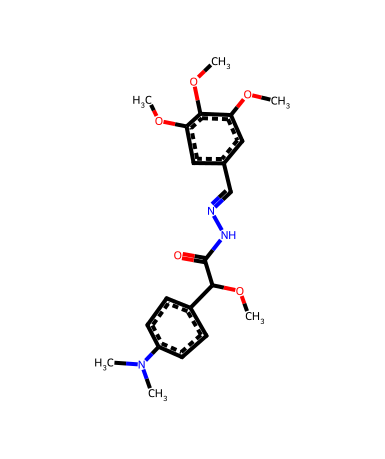 COc1cc(C=NNC(=O)C(OC)c2ccc(N(C)C)cc2)cc(OC)c1OC